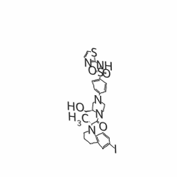 C[C@H](C(=O)N1CCN(c2ccc(S(=O)(=O)Nc3nccs3)cc2)C[C@@H]1CO)N1CCCc2cc(I)ccc21